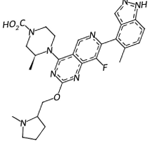 Cc1ccc2[nH]ncc2c1-c1ncc2c(N3CCN(C(=O)O)C[C@@H]3C)nc(OCC3CCCN3C)nc2c1F